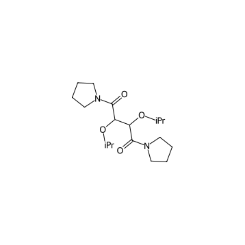 CC(C)OC(C(=O)N1CCCC1)C(OC(C)C)C(=O)N1CCCC1